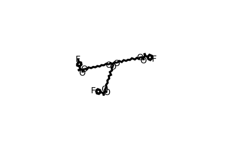 C=C(C(=O)OCCCCCCCCCCOCC(COCCCCCCCCCCOC(=O)C(=C)c1ccc(F)cc1)OCCCCCCCCCCOC(=O)C(=C)c1ccc(F)cc1)c1ccc(F)cc1